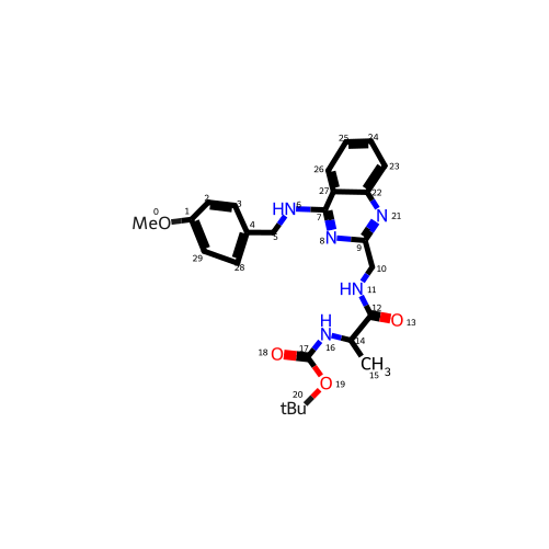 COc1ccc(CNc2nc(CNC(=O)C(C)NC(=O)OC(C)(C)C)nc3ccccc23)cc1